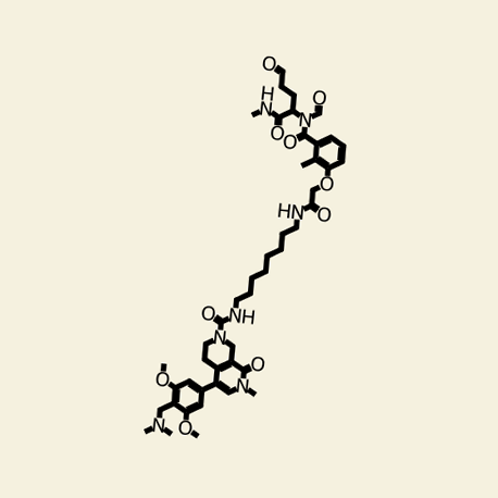 CNC(=O)C(CCC=O)N(C=O)C(=O)c1cccc(OCC(=O)NCCCCCCCCNC(=O)N2CCc3c(-c4cc(OC)c(CN(C)C)c(OC)c4)cn(C)c(=O)c3C2)c1C